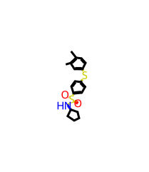 Cc1ccc(Sc2ccc(S(=O)(=O)NC3CCCC3)cc2)cc1C